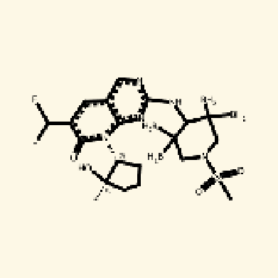 BC1(B)CN(S(C)(=O)=O)CC(B)(B)C1Nc1ncc2cc(C(F)F)c(=O)n([C@@H]3CCC[C@@]3(C)O)c2n1